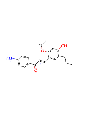 CCCc1cc(/C=C/C(=O)c2ccc(N)cc2)c(OC(C)C)cc1O